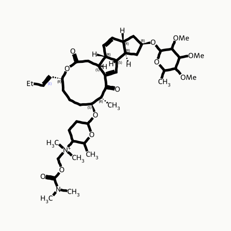 CC/C=C/[C@H]1CCC[C@H](OC2CCC([N+](C)(C)COC(=O)N(C)C)C(C)O2)[C@@H](C)C(=O)C2=C[C@@H]3[C@@H](C=C[C@@H]4C[C@@H](OC5OC(C)C(OC)C(OC)C5OC)C[C@@H]34)[C@@H]2CC(=O)O1